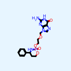 Nc1nc2c(ncn2COCCOP2(=O)NC(c3ccccc3)CCO2)c(=O)[nH]1